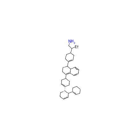 CCC(CN)C1CC=C(C2CCC(C3CC=C([C@H]4CCC=CC4C4=CCCCC4)CC3)=C3C=CC=CC32)CC1